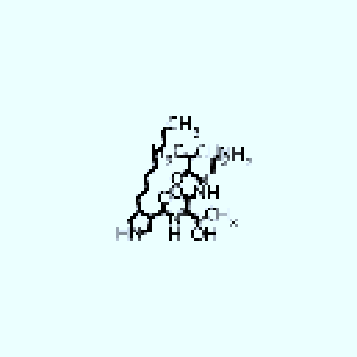 CCCCCCCCC1CNCC1C(=O)N[C@H](C(=O)N[C@@H](CCN)C(=O)C(C)C)[C@H](C)O